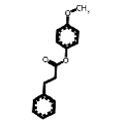 COc1ccc(OC(=O)CCc2ccccc2)cc1